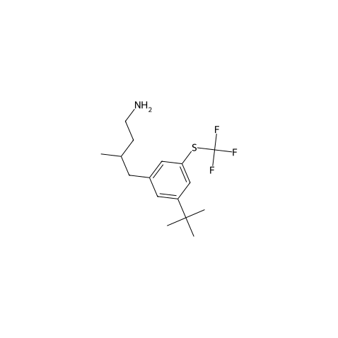 CC(CCN)Cc1cc(SC(F)(F)F)cc(C(C)(C)C)c1